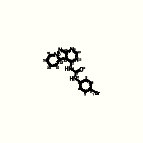 O=C(Nc1ccc(Br)cc1)Nc1ncnc2nn3ccccc3c12